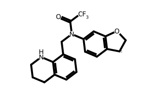 O=C(N(Cc1cccc2c1NCCC2)c1ccc2c(c1)OC[C]2)C(F)(F)F